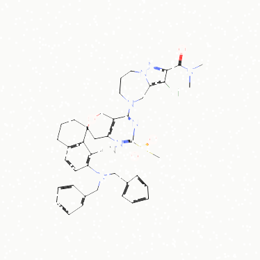 CN(C)C(=O)c1nn2c(c1Cl)CN(c1nc(S(C)(=O)=O)nc3c1COC1(CCCc4ccc(N(Cc5ccccc5)Cc5ccccc5)c(C#N)c41)C3)CCC2